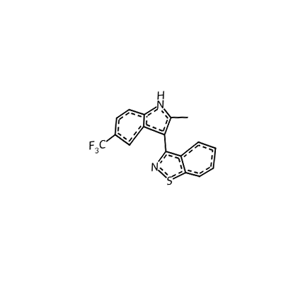 Cc1[nH]c2ccc(C(F)(F)F)cc2c1-c1nsc2ccccc12